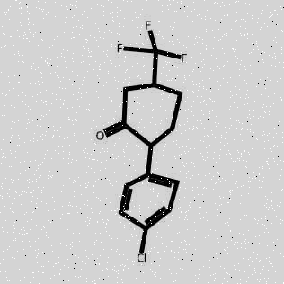 O=C1CC(C(F)(F)F)CCC1c1ccc(Cl)cc1